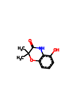 CC1(C)Oc2cccc(O)c2NC1=O